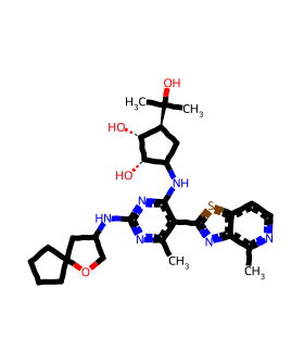 Cc1nc(NC2COC3(CCCC3)C2)nc(NC2C[C@H](C(C)(C)O)[C@@H](O)[C@H]2O)c1-c1nc2c(C)nccc2s1